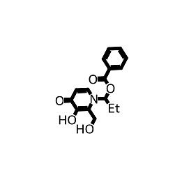 CCC(OC(=O)c1ccccc1)n1ccc(=O)c(O)c1CO